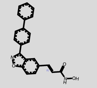 O=C(/C=C/c1ccc2onc(-c3ccc(-c4ccccc4)cc3)c2c1)NO